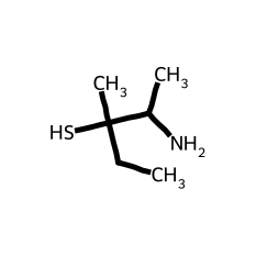 CCC(C)(S)C(C)N